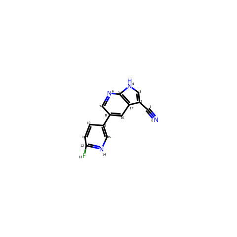 N#Cc1c[nH]c2ncc(-c3ccc(F)nc3)cc12